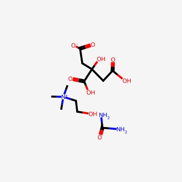 C[N+](C)(C)CCO.NC(N)=O.O=C([O-])CC(O)(CC(=O)O)C(=O)O